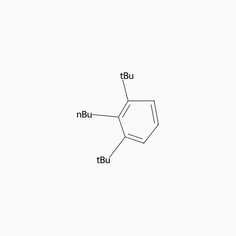 [CH2]CCCc1c(C(C)(C)C)cccc1C(C)(C)C